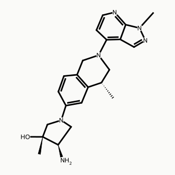 C[C@H]1CN(c2ccnc3c2cnn3C)Cc2ccc(N3C[C@@H](N)[C@](C)(O)C3)cc21